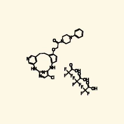 O=C(COc1ccc2cc1CCc1cncc(c1)Nc1ncc(Cl)c(n1)N2)N1CCN(c2ccccc2)CC1.O=C(O)C(F)(F)F.O=C(O)C(F)(F)F.O=C(O)C(F)(F)F